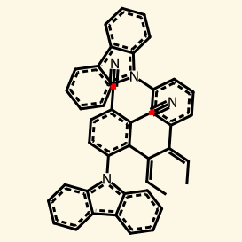 C/C=C(\C(=C/C)c1c(-n2c3ccccc3c3ccccc32)ccc(C#N)c1C#N)c1cccc(-n2c3ccccc3c3ccccc32)c1